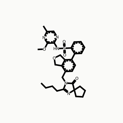 CCCCC1=NC2(CCCC2)C(=O)N1Cc1ccc(-c2ccccc2S(=O)(=O)Nc2ncc(C)nc2OC)c2c1COC2